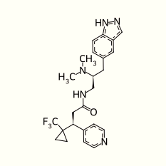 CN(C)[C@H](CNC(=O)C[C@@H](c1ccncc1)C1(C(F)(F)F)CC1)Cc1ccc2[nH]ncc2c1